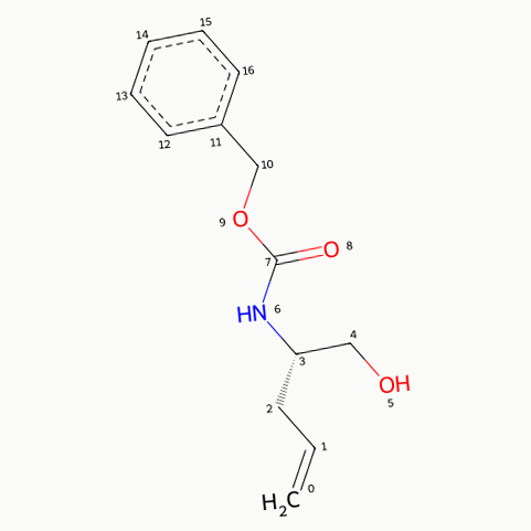 C=CC[C@@H](CO)NC(=O)OCc1ccccc1